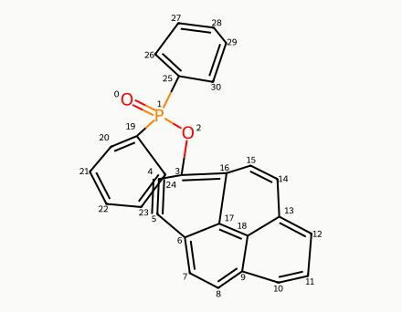 O=P(Oc1c#cc2ccc3cccc4ccc1c2c34)(c1ccccc1)c1ccccc1